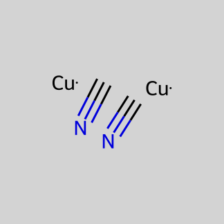 C#N.C#N.[Cu].[Cu]